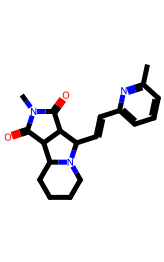 Cc1cccc(C=CC2C3C(=O)N(C)C(=O)C3C3CCCCN23)n1